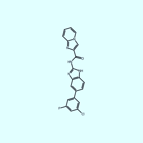 O=C(Nc1nc2cc(-c3cc(F)cc(Cl)c3)ccc2[nH]1)c1cn2ccccc2n1